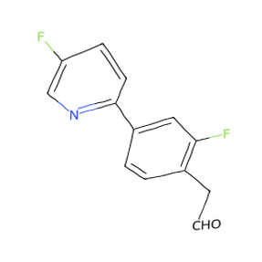 O=CCc1ccc(-c2ccc(F)cn2)cc1F